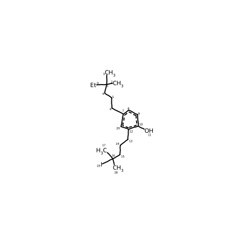 CCC(C)(C)CCCc1ccc(O)c(CCCC(C)(C)I)c1